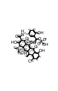 C=C1c2c(Cl)ccc(O)c2C(=O)C2=C(O)[C@]3(O)C(=O)C(C(N)=O)=C(O)[C@@H](N(C)C)[C@@H]3[C@@H](O)[C@H]12.O=C(OS(=O)(=O)O)c1ccccc1O